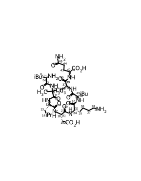 CC[C@H](C)[C@H](N)C(=O)NC(C)(C)C(=O)N[C@@H](CC(C)C)C(=O)N[C@@H](CC(=O)O)C(=O)N[C@@H](CCCCN)C(=O)N[C@H](C(=O)N[C@@H](C)C(=O)N[C@@H](CCC(N)=O)C(=O)O)[C@@H](C)CC